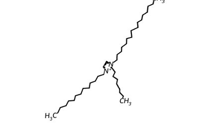 CCCCCCCCCCCCCCCCn1cc[n+](CCCCCCCCCCCCCC)c1CCCCCCCC